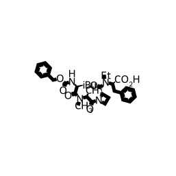 CC[C@H](C)[C@H](NC(=O)OCc1ccccc1)C(=O)N(C)[C@@H](C)C(=O)N1CC[C@H]1C(=O)N(CC)[C@@H](Cc1ccccc1)C(=O)O